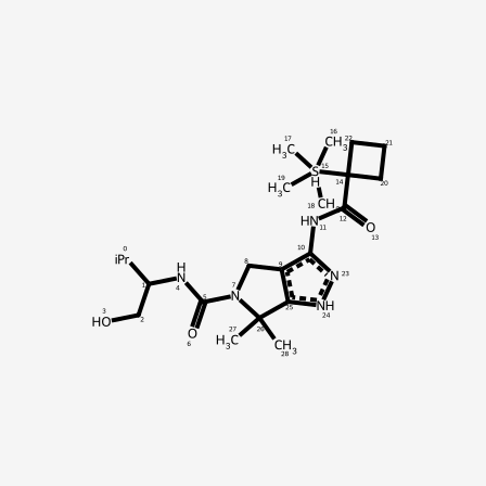 CC(C)C(CO)NC(=O)N1Cc2c(NC(=O)C3([SH](C)(C)(C)C)CCC3)n[nH]c2C1(C)C